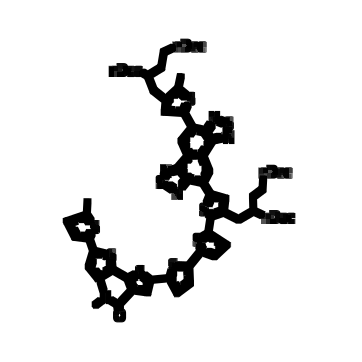 CCCCCCCCCCCCC(CCCCCCCCCC)Cc1cc(-c2cc3c(cc(-c4cc(CC(CCCCCCCCCC)CCCCCCCCCCCC)c(-c5ccc(-c6ccc(-c7cc(C(=O)N(C)C)c(-c8ccc(-c9ccc(C)s9)s8)s7)s6)s5)s4)c4nsnc43)c3nsnc23)sc1C